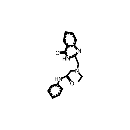 CCN(CC(=O)Nc1ccccc1)Cc1nc2ccccc2c(=O)[nH]1